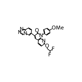 COc1ccc(-n2c(=O)c(-c3ccc4nncn4c3)cc3ccc(OCC(F)F)nc32)cc1